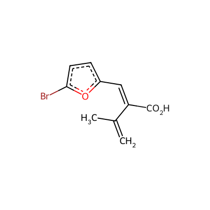 C=C(C)C(=Cc1ccc(Br)o1)C(=O)O